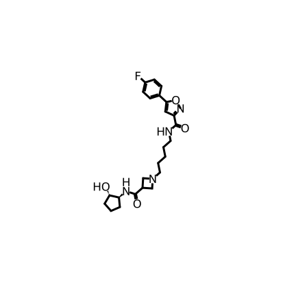 O=C(NCCCCCN1CC(C(=O)N[C@H]2CCC[C@@H]2O)C1)c1cc(-c2ccc(F)cc2)on1